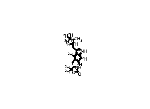 [2H]c1c(C[C@@H]2NC(=O)OC2([2H])[2H])c([2H])c2c(CC([2H])([2H])N(C)C([2H])([2H])[2H])c[nH]c2c1[2H]